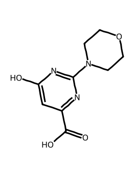 O=C(O)c1cc(O)nc(N2CCOCC2)n1